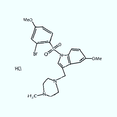 COc1ccc(S(=O)(=O)n2cc(CN3CCN(C)CC3)c3cc(OC)ccc32)c(Br)c1.Cl